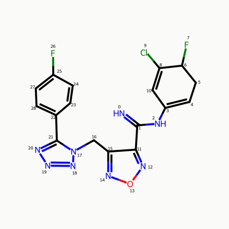 N=C(NC1=CCC(F)C(Cl)=C1)c1nonc1Cn1nnnc1-c1ccc(F)cc1